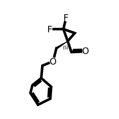 O=C[C@@]1(COCc2ccccc2)CC1(F)F